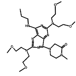 CCCNc1nc(N(CCOC)CCOC)nc2c(N3CCN(C)C(=O)C3)nc(N(CCOC)CCOC)nc12